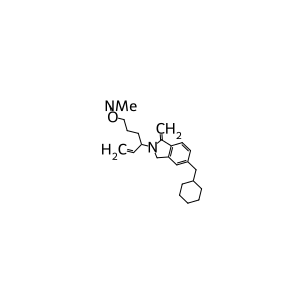 C=CC(CCCONC)N1Cc2cc(CC3CCCCC3)ccc2C1=C